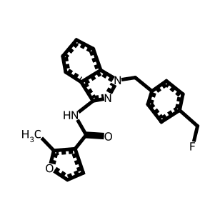 Cc1occc1C(=O)Nc1nn(Cc2ccc(CF)cc2)c2ccccc12